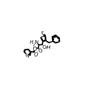 NC(C(=O)OC(=O)c1cccnc1)C(O)c1cscc1Cc1ccccc1